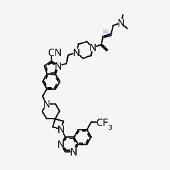 C=C(/C=C/CN(C)C)N1CCN(CCn2c(C#N)cc3cc(CN4CCC5(CC4)CN(c4ncnc6ccc(CC(F)(F)F)cc46)C5)ccc32)CC1